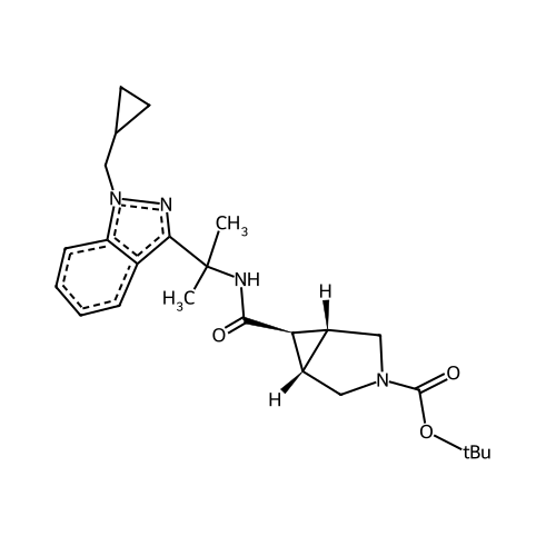 CC(C)(C)OC(=O)N1C[C@@H]2[C@H](C1)[C@H]2C(=O)NC(C)(C)c1nn(CC2CC2)c2ccccc12